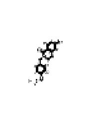 COc1ccc(CN2CCc3cc(Br)ccc3C2=O)cc1